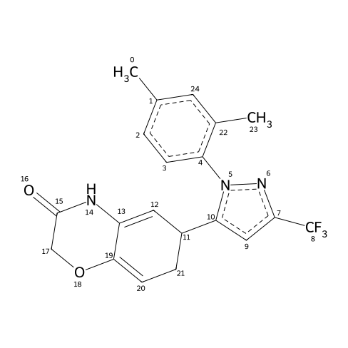 Cc1ccc(-n2nc(C(F)(F)F)cc2C2C=C3NC(=O)COC3=CC2)c(C)c1